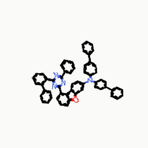 c1ccc(-c2ccc(N(c3ccc(-c4ccccc4)cc3)c3ccc4c(c3)oc3cccc(-c5nc(-c6ccccc6)nc(-c6ccccc6-c6ccccc6)n5)c34)cc2)cc1